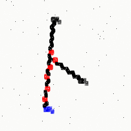 C=CCCCCCCCOCC(COCCOCCOCCOCCN)OCCCCCCCC=C